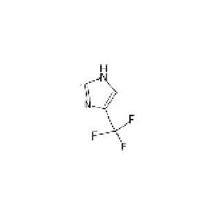 FC(F)(F)c1c[nH][c]n1